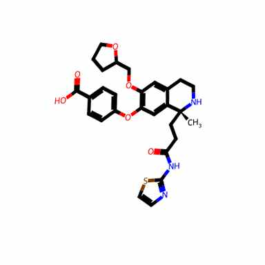 C[C@]1(CCC(=O)Nc2nccs2)NCCc2cc(OCC3CCCO3)c(Oc3ccc(C(=O)O)cc3)cc21